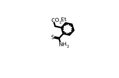 CCOC(=O)Cc1ccccc1C(N)=S